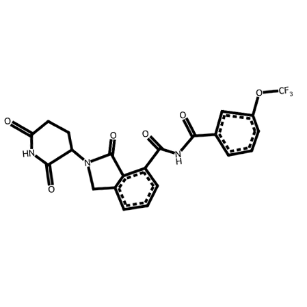 O=C1CCC(N2Cc3cccc(C(=O)NC(=O)c4cccc(OC(F)(F)F)c4)c3C2=O)C(=O)N1